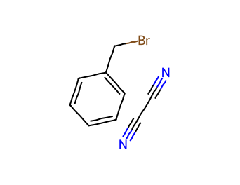 BrCc1ccccc1.N#CC#N